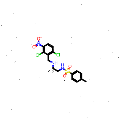 Cc1ccc(S(=O)(=O)NC[C@H](C)NCc2c(Cl)ccc([N+](=O)[O-])c2Cl)cc1